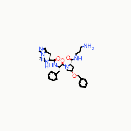 [2H]N[C@@H](Cc1cnc[nH]1)C(=O)N[C@@H](Cc1ccccc1)C(=O)N1C[C@H](OCc2ccccc2)C[C@H]1C(=O)NCCCN